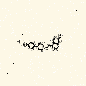 COc1ccc(C2CCN(CC[C@@H]3OCCc4cc(Br)ccc43)CC2)cc1